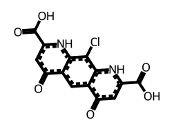 O=C(O)c1cc(=O)c2cc3c(=O)cc(C(=O)O)[nH]c3c(Cl)c2[nH]1